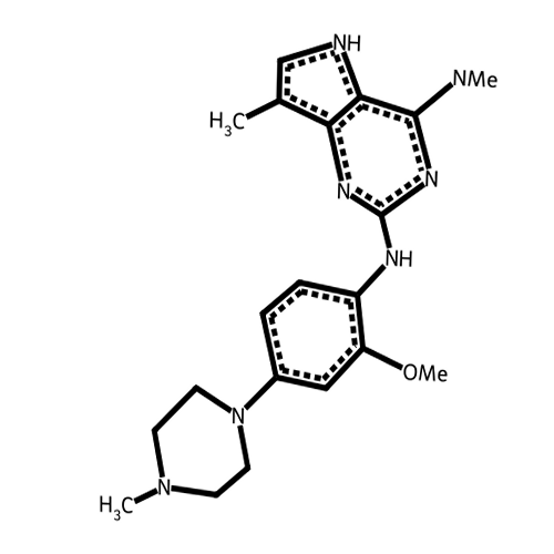 CNc1nc(Nc2ccc(N3CCN(C)CC3)cc2OC)nc2c(C)c[nH]c12